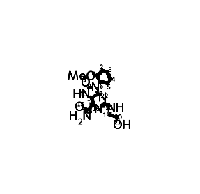 COc1ccccc1-n1c(=O)[nH]c2c(C(N)=O)nc(NCCO)nc21